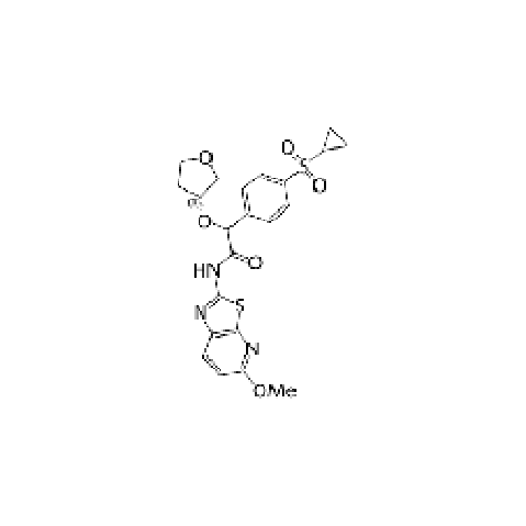 COc1ccc2nc(NC(=O)C(O[C@@H]3CCOC3)c3ccc(S(=O)(=O)C4CC4)cc3)sc2n1